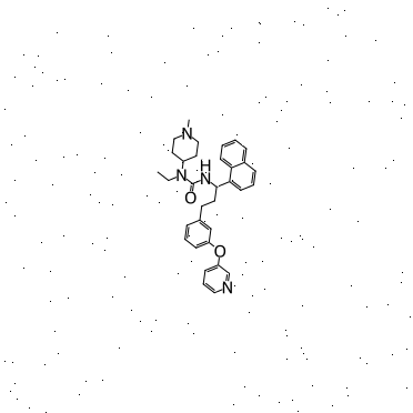 CCN(C(=O)NC(CCc1cccc(Oc2cccnc2)c1)c1cccc2ccccc12)C1CCN(C)CC1